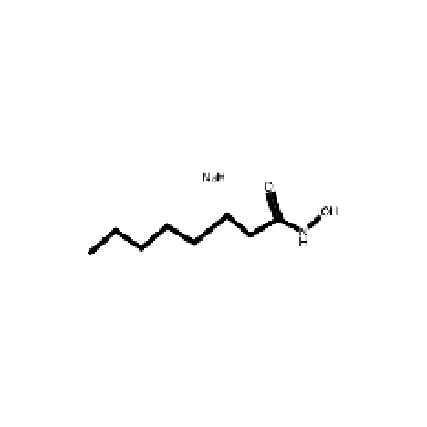 CCCCCCCC(=O)NO.[NaH]